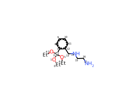 CCO[Si](OCC)(OCC)c1ccccc1CNCCN